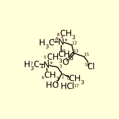 C[C@@H](O)C[N+](C)(C)C.C[N+](C)(C)CC(=O)CCl.Cl